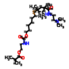 C=C(C)C(=O)OCCNC(=O)OCCCCCCSC(C)(C)CC(C)(C(=O)NCCN(C)C)C(C)(C)C